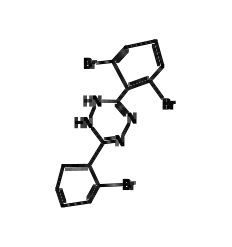 Brc1ccccc1C1=NN=C(c2c(Br)cccc2Br)NN1